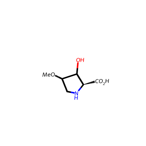 COC1CN[C@H](C(=O)O)C1O